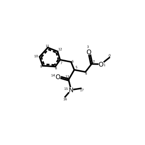 COC(=O)CC(Cc1ccccc1)C(=O)N(C)C